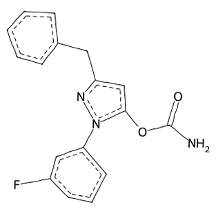 NC(=O)Oc1cc(Cc2ccccc2)nn1-c1cccc(F)c1